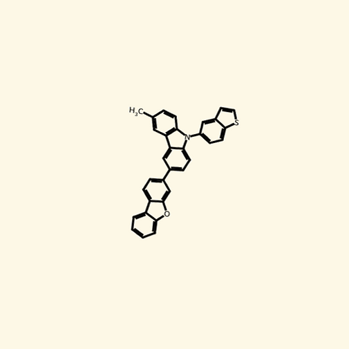 Cc1ccc2c(c1)c1cc(-c3ccc4c(c3)oc3ccccc34)ccc1n2-c1ccc2sccc2c1